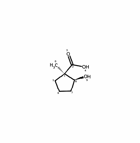 C[C@@]1(C(=O)O)CCC[C@@H]1O